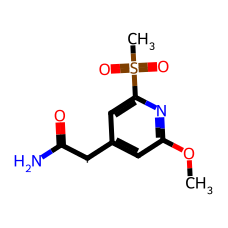 COc1cc([CH]C(N)=O)cc(S(C)(=O)=O)n1